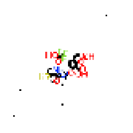 CC(C)(S)[C@@H](N)C(=O)N1CC(Oc2ccc3c(c2C(=O)O)OB(O)CC3)C1.O=C(O)C(F)(F)F